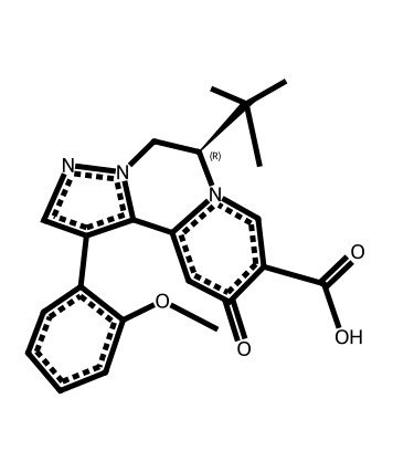 COc1ccccc1-c1cnn2c1-c1cc(=O)c(C(=O)O)cn1[C@H](C(C)(C)C)C2